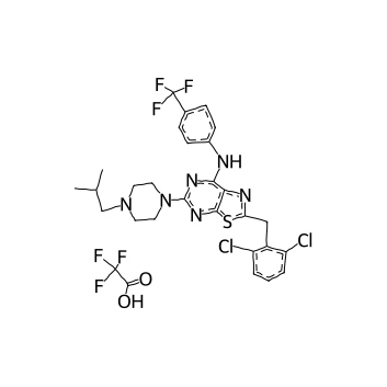 CC(C)CN1CCN(c2nc(Nc3ccc(C(F)(F)F)cc3)c3nc(Cc4c(Cl)cccc4Cl)sc3n2)CC1.O=C(O)C(F)(F)F